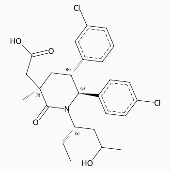 CC[C@@H](CC(C)O)N1C(=O)[C@@](C)(CC(=O)O)C[C@H](c2cccc(Cl)c2)[C@H]1c1ccc(Cl)cc1